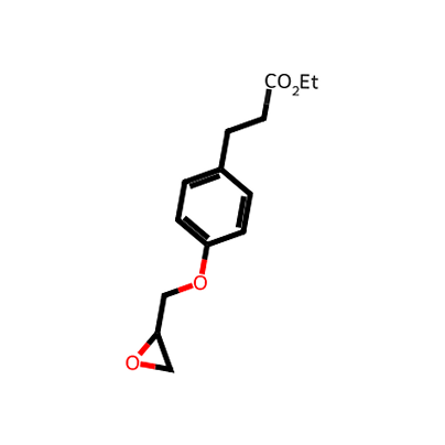 CCOC(=O)CCc1ccc(OCC2CO2)cc1